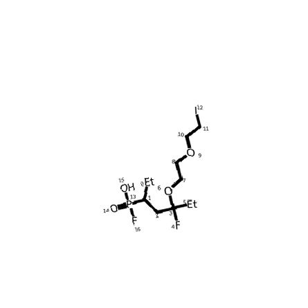 CCC(CC(F)(CC)OCCOCCI)P(=O)(O)F